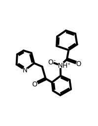 O=C(Cc1ccccn1)c1ccccc1[NH+]([O-])C(=O)c1ccccc1